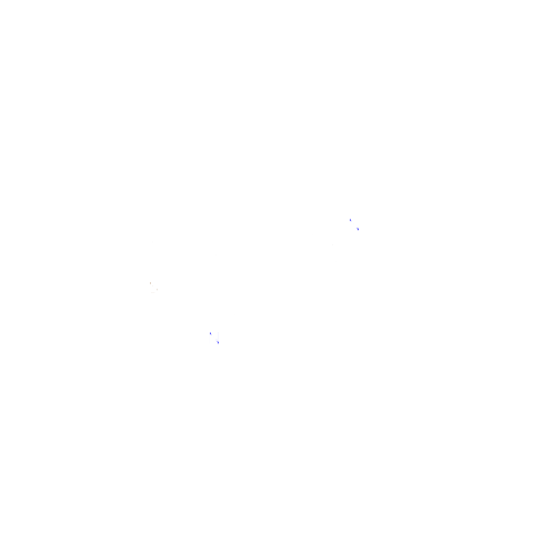 C1=CC(S(c2ccccc2)(c2ccccc2)c2cccc(-n3c4ccccc4c4cc(-c5ccc6c(c5)c5ccccc5n6-c5cccc(-c6ccccc6)c5)ccc43)c2)=CCC1